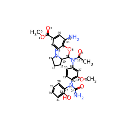 COC(=O)c1ccc(OC(C2CCCN2)N(C(C)=O)c2ccc(N(C(N)=O)c3ccccc3O)c(OC)c2)c(N)c1